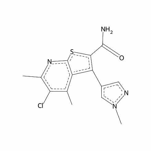 Cc1nc2sc(C(N)=O)c(-c3cnn(C)c3)c2c(C)c1Cl